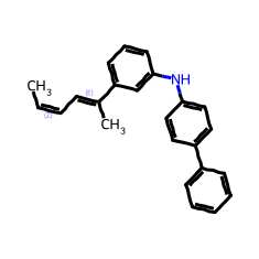 C/C=C\C=C(/C)c1cccc(Nc2ccc(-c3ccccc3)cc2)c1